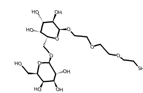 OC[C@H]1O[C@@H](OC[C@H]2O[C@H](OCCOCCOCCS)[C@H](O)[C@@H](O)[C@H]2O)[C@H](O)[C@@H](O)[C@H]1O